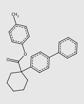 Cc1ccc(OC(=O)C2(c3ccc(-c4ccccc4)cc3)CCCCC2)cc1